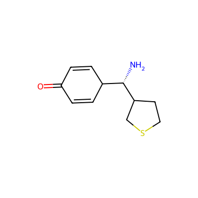 N[C@@H](C1C=CC(=O)C=C1)C1CCSC1